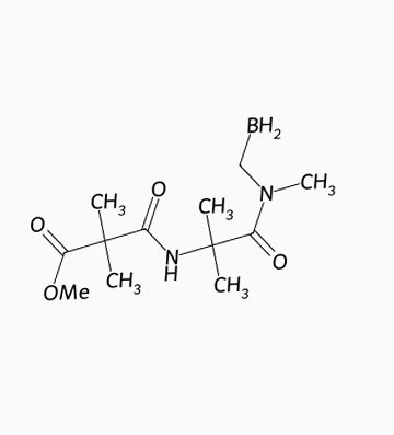 BCN(C)C(=O)C(C)(C)NC(=O)C(C)(C)C(=O)OC